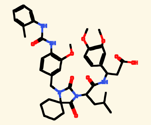 COc1cc(CN2C(=O)N(C(CC(C)C)C(=O)NC(CC(=O)O)c3ccc(OC)c(OC)c3)C(=O)C23CCCCC3)ccc1NC(=O)Nc1ccccc1C